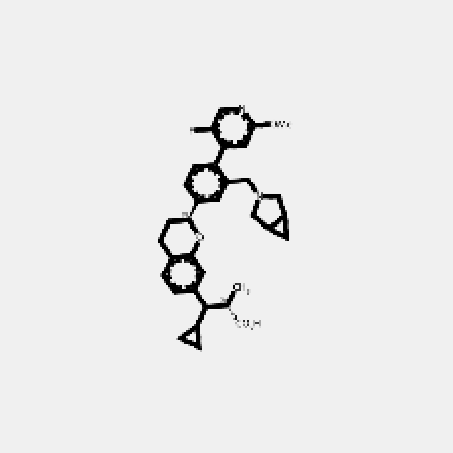 COc1cc(-c2ccc([C@@H]3CCc4ccc(C(C5CC5)[C@H](C)C(=O)O)cc4O3)cc2CN2CC3CC3C2)c(F)cn1